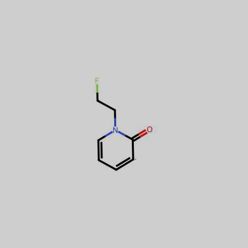 O=c1[c]cccn1CCF